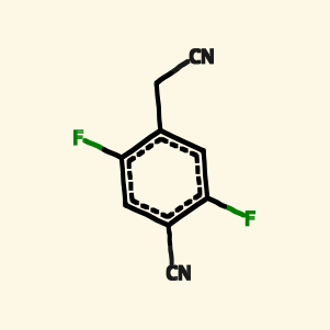 N#CCc1cc(F)c(C#N)cc1F